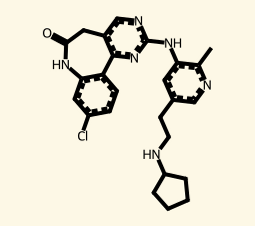 Cc1ncc(CCNC2CCCC2)cc1Nc1ncc2c(n1)-c1ccc(Cl)cc1NC(=O)C2